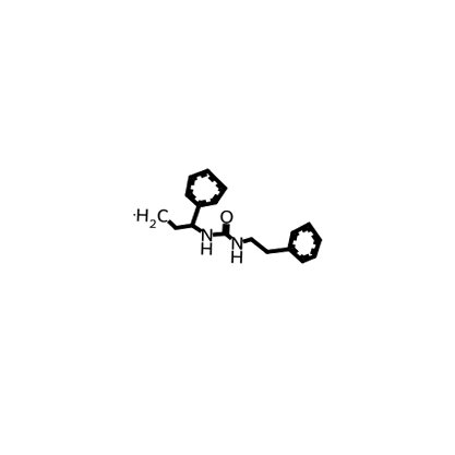 [CH2]CC(NC(=O)NCCc1ccccc1)c1ccccc1